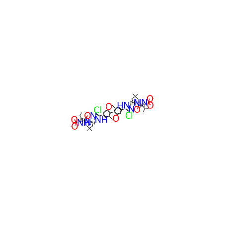 COC(=O)N[C@H](C(=O)N1CC(C)(C)C[C@H]1c1nc(Cl)c(-c2cc3c4c(c2)OCc2cc(-c5[nH]c([C@@H]6CC(C)(C)CN6C(=O)[C@@H](NC(=O)OC)C(C)C)nc5Cl)cc(c2-4)OC3)[nH]1)C(C)C